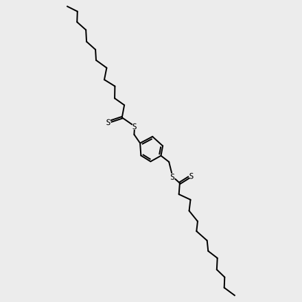 CCCCCCCCCCCCC(=S)SCc1ccc(CSC(=S)CCCCCCCCCCCC)cc1